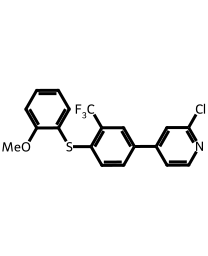 COc1ccccc1Sc1ccc(-c2ccnc(Cl)c2)cc1C(F)(F)F